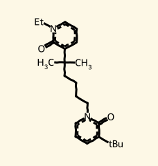 CCn1cccc(C(C)(C)CCCCn2cccc(C(C)(C)C)c2=O)c1=O